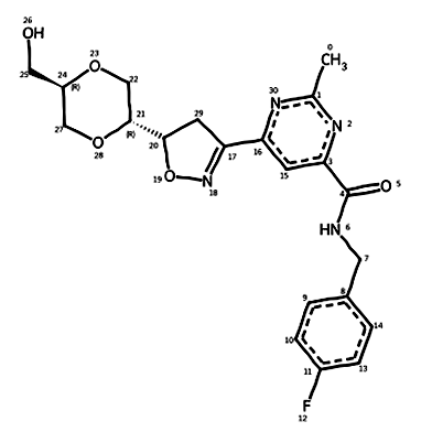 Cc1nc(C(=O)NCc2ccc(F)cc2)cc(C2=NOC([C@H]3CO[C@H](CO)CO3)C2)n1